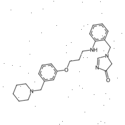 O=C1CN(Cc2ccccc2NCCCOc2cccc(CN3CCCCC3)c2)C=N1